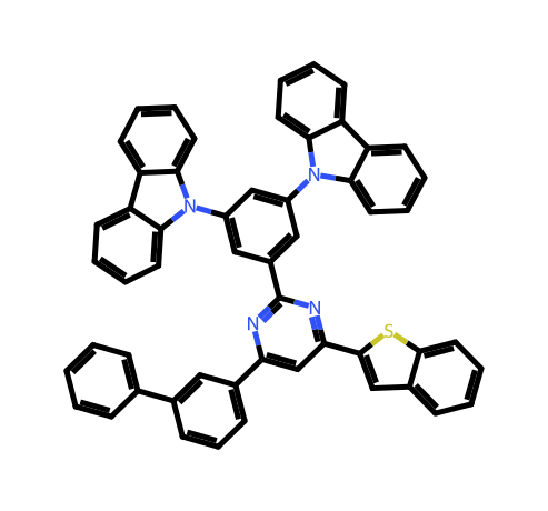 c1ccc(-c2cccc(-c3cc(-c4cc5ccccc5s4)nc(-c4cc(-n5c6ccccc6c6ccccc65)cc(-n5c6ccccc6c6ccccc65)c4)n3)c2)cc1